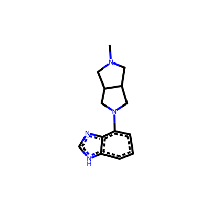 CN1CC2CN(c3cccc4[nH]cnc34)CC2C1